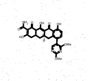 COc1ncc(-c2ccc(O)c3c2C[C@H]2CC4CC(O)=C(C(N)=O)C(=O)C4C(O)=C2C3=O)c(OC)n1